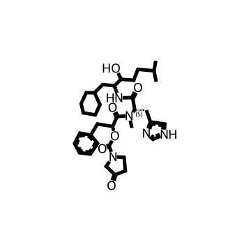 CC(C)CCC(O)C(CC1CCCCC1)NC(=O)[C@H](Cc1c[nH]cn1)N(C)C(=O)C(Cc1ccccc1)OC(=O)N1CCC(=O)C1